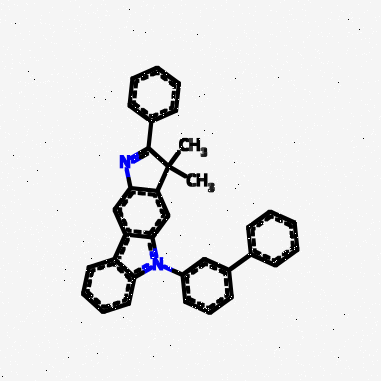 CC1(C)C(c2ccccc2)=Nc2cc3c4ccccc4n(-c4cccc(-c5ccccc5)c4)c3cc21